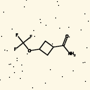 NC(=O)C1CC(OC(F)(F)F)C1